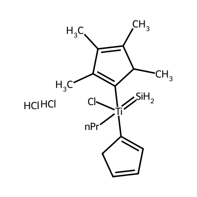 CC[CH2][Ti](=[SiH2])([Cl])([C]1=CC=CC1)[C]1=C(C)C(C)=C(C)C1C.Cl.Cl